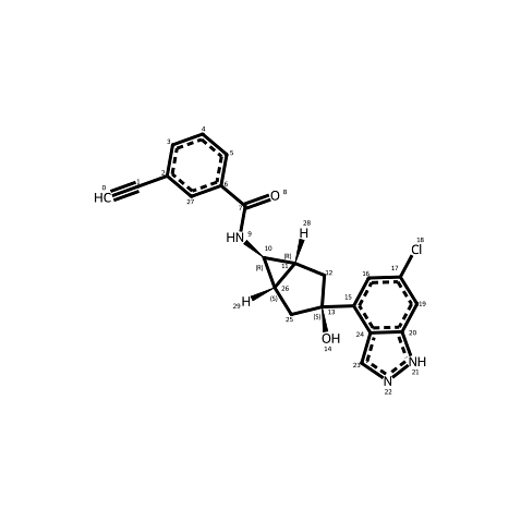 C#Cc1cccc(C(=O)N[C@H]2[C@@H]3C[C@](O)(c4cc(Cl)cc5[nH]ncc45)C[C@@H]32)c1